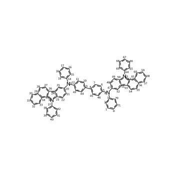 c1ccc(N(c2ccc(-c3ccc(N(c4ccccc4)c4ccc5c(c4)c4ccc6ccccc6c4n5-c4ccccc4)cc3)cc2)c2ccc3c(c2)c2ccc4ccccc4c2n3-c2ccccc2)cc1